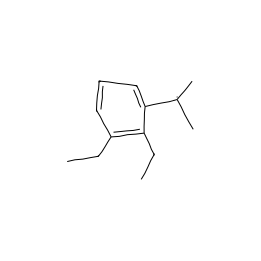 CCc1cccc([C](C)C)c1CC